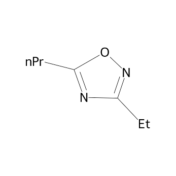 CCCc1nc(CC)no1